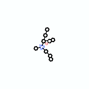 C1=c2ccccc2=CC2c3c(-c4ccc(-c5ccccc5)cc4)ccc(-c4nc(-c5ccccc5)nc(-c5ccc(-c6ccc7ccccc7c6)cc5)n4)c3OC12